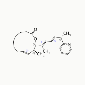 C/C(=C\C=C\[C@H](C)c1ccccn1)[C@H]1OC(=O)CCCCC[CH]/C=C/[C@@H]1C